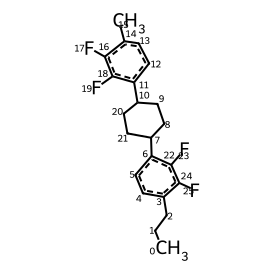 CCCc1ccc(C2CCC(c3ccc(C)c(F)c3F)CC2)c(F)c1F